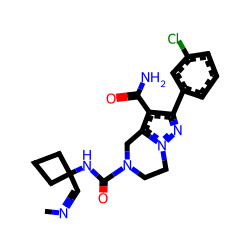 C/N=C\C1(NC(=O)N2CCn3nc(-c4cccc(Cl)c4)c(C(N)=O)c3C2)CCC1